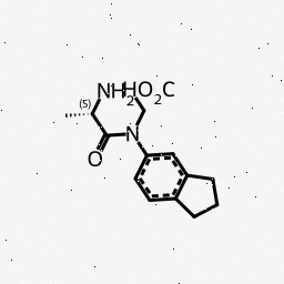 C[C@H](N)C(=O)N(CC(=O)O)c1ccc2c(c1)CCC2